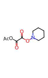 CC(=O)OC(=O)C(=O)ON1CCCCC1